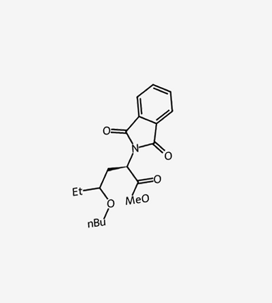 CCCCOC(CC)C[C@H](C(=O)OC)N1C(=O)c2ccccc2C1=O